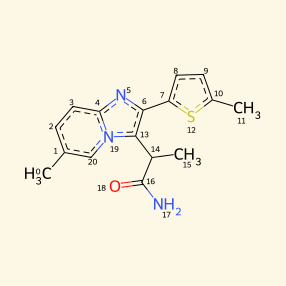 Cc1ccc2nc(-c3ccc(C)s3)c(C(C)C(N)=O)n2c1